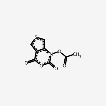 CC(=O)On1c(=O)oc(=O)c2cscc21